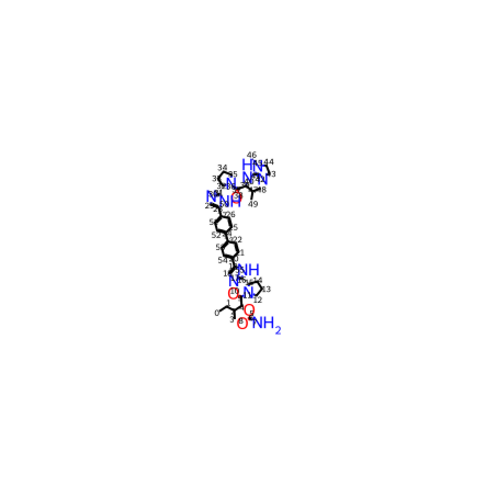 CCC(C)[C@H](OC(N)=O)C(=O)N1CCC[C@H]1c1ncc(-c2ccc(-c3ccc(-c4cnc([C@@H]5CCCN5C(=O)[C@@H](NC5=NCCN5C)C(C)C)[nH]4)cc3)cc2)[nH]1